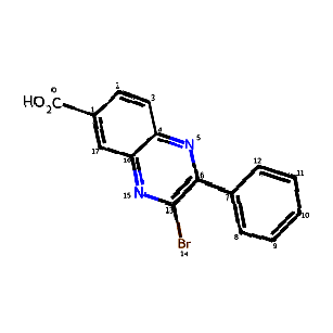 O=C(O)c1ccc2nc(-c3ccccc3)c(Br)nc2c1